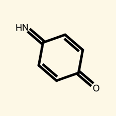 N=C1C=CC(=O)C=C1